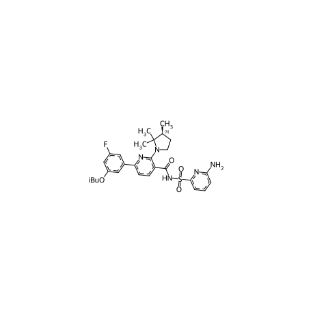 CC(C)COc1cc(F)cc(-c2ccc(C(=O)NS(=O)(=O)c3cccc(N)n3)c(N3CC[C@H](C)C3(C)C)n2)c1